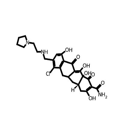 NC(=O)C1=C(O)C[C@@H]2CC3Cc4c(Cl)c(CNCCN5CCCC5)cc(O)c4C(=O)C3=C(O)[C@]2(O)C1=O